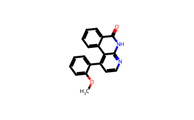 COc1ccccc1-c1ccnc2[nH]c(=O)c3ccccc3c12